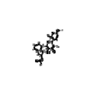 COc1ccc(-c2nc(C)c(N[C@H]3c4ccccc4C[C@@H]3OC(C)=O)c(=O)n2C)c(C)n1